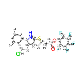 Cc1cc(C)cc(-c2[nH]c3sc(C(C)(C)C(=O)Oc4c(F)c(F)c(F)c(F)c4F)cc3c2CCCl)c1